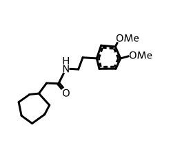 COc1ccc(CCNC(=O)CC2CCCCCC2)cc1OC